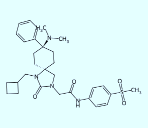 CN(C)[C@]1(c2ccccc2)CC[C@]2(CC1)CN(CC(=O)Nc1ccc(S(C)(=O)=O)cc1)C(=O)N2CC1CCC1